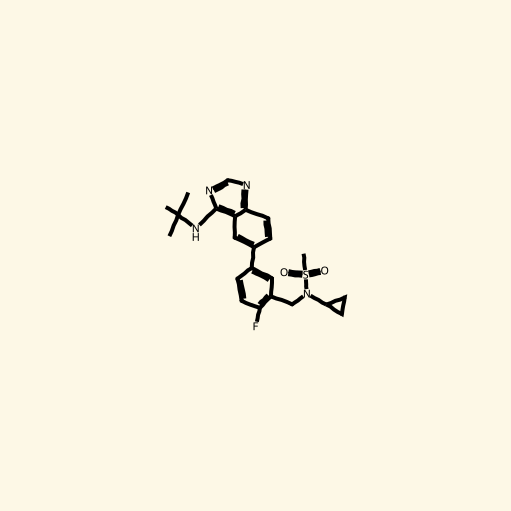 CC(C)(C)Nc1ncnc2ccc(-c3ccc(F)c(CN(C4CC4)S(C)(=O)=O)c3)cc12